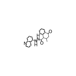 CC1CC(=O)c2ccccc2C1C(=O)NNc1cccc2ncccc12